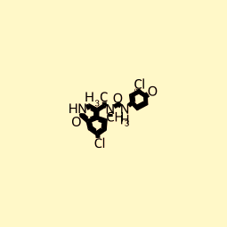 CC(c1c[nH]c(=O)c2cc(Cl)ccc12)N(C)C(=O)NC1=C[C@@H](Cl)C(=O)C=C1